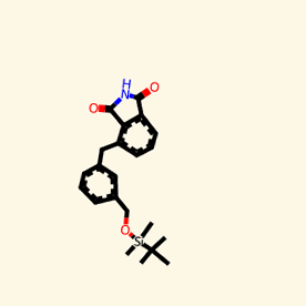 CC(C)(C)[Si](C)(C)OCc1cccc(Cc2cccc3c2C(=O)NC3=O)c1